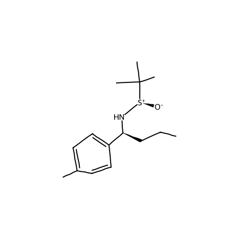 CCC[C@H](N[S@+]([O-])C(C)(C)C)c1ccc(C)cc1